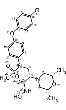 C[C@@H]1CN([C@@H](CN(c2ccc(Oc3ccc(Cl)cc3)cc2)S(C)(=O)=O)C(=O)NO)C[C@H](C)O1